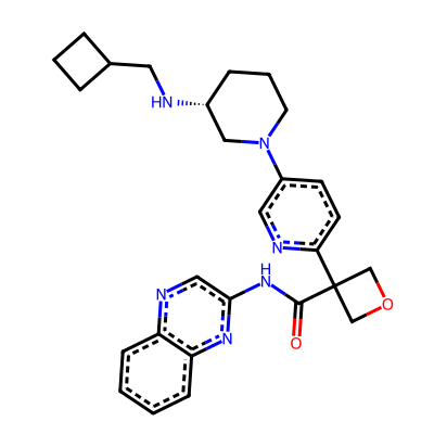 O=C(Nc1cnc2ccccc2n1)C1(c2ccc(N3CCC[C@@H](NCC4CCC4)C3)cn2)COC1